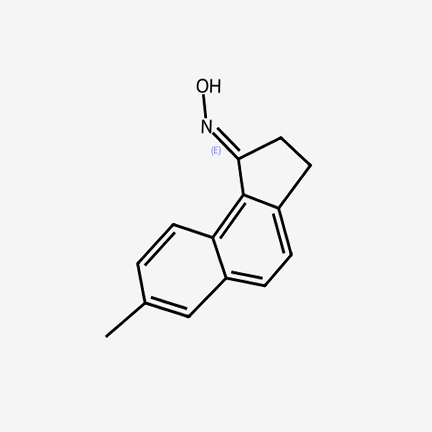 Cc1ccc2c3c(ccc2c1)CC/C3=N\O